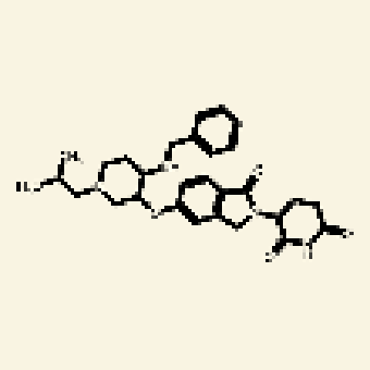 CC(C)CN1CCC(NCc2ccccc2)C(Oc2ccc3c(c2)CN(C2CCC(=O)NC2=O)C3=O)C1